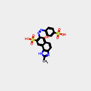 Cc1nc2ccc3c(O)c(/N=N\c4ccc(S(=O)(=O)O)cc4)c(S(=O)(=O)O)cc3c2[nH]1